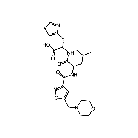 CC(C)C[C@H](NC(=O)c1cc(CN2CCOCC2)on1)C(=O)N[C@@H](Cc1cscn1)C(=O)O